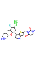 Cc1c(F)c(Cl)cc(-c2ccnc3cc(Cn4c(=O)ccn(C)c4=O)sc23)c1O[C@H]1CCCNC1.Cl.Cl